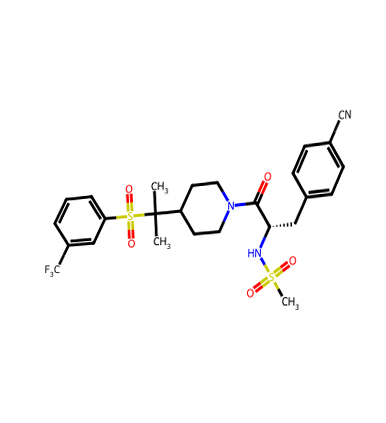 CC(C)(C1CCN(C(=O)[C@H](Cc2ccc(C#N)cc2)NS(C)(=O)=O)CC1)S(=O)(=O)c1cccc(C(F)(F)F)c1